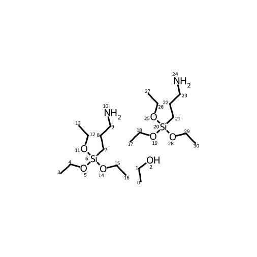 CCO.CCO[Si](CCCN)(OCC)OCC.CCO[Si](CCCN)(OCC)OCC